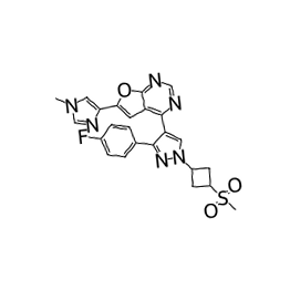 Cn1cnc(-c2cc3c(-c4cn(C5CC(S(C)(=O)=O)C5)nc4-c4ccc(F)cc4)ncnc3o2)c1